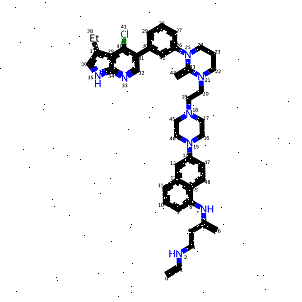 C=CNCCC(=C)Nc1cccc2cc(N3CCN(CCN4CCCN(c5cccc(-c6cnc7[nH]cc(CC)c7c6Cl)c5)C4=C)CC3)ccc12